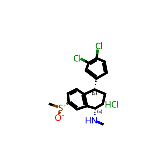 CN[C@H]1CC[C@@H](c2ccc(Cl)c(Cl)c2)c2ccc([S+](C)[O-])cc21.Cl